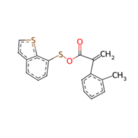 C=C(C(=O)OSc1cccc2ccsc12)c1ccccc1C